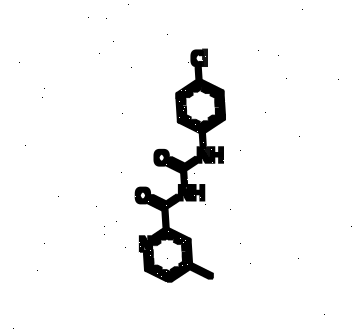 Cc1ccnc(C(=O)NC(=O)Nc2ccc(Cl)cc2)c1